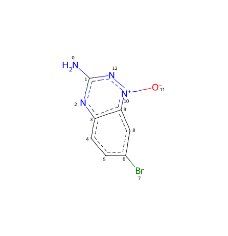 Nc1nc2ccc(Br)cc2[n+]([O-])n1